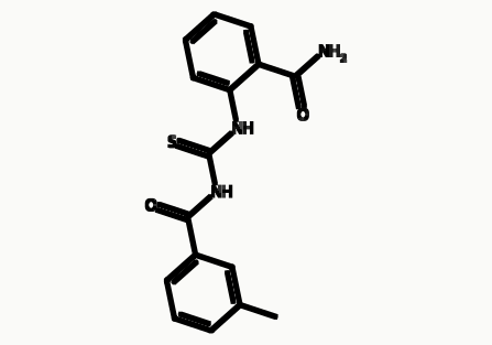 Cc1cccc(C(=O)NC(=S)Nc2ccccc2C(N)=O)c1